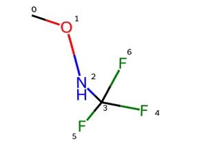 CONC(F)(F)F